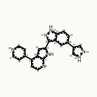 c1cc(-c2ccnc3[nH]c(-c4n[nH]c5ccc(-c6cn[nH]c6)cc45)cc23)ccn1